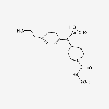 CCCCCCCCNC(=O)N1CCC(N(C(C)=O)c2ccc(CCN)cc2)CC1.O=CO